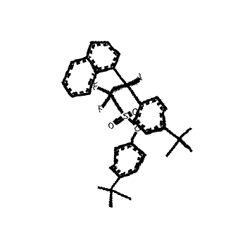 CC(C)(C)c1ccc(OS(=O)(=O)C(F)(F)C(I)(c2ccc(C(C)(C)C)cc2)c2cccc3ccccc23)cc1